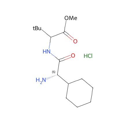 COC(=O)C(NC(=O)[C@@H](N)C1CCCCC1)C(C)(C)C.Cl